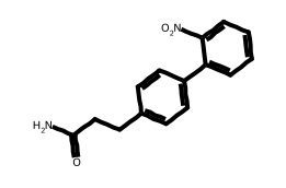 NC(=O)CCc1ccc(-c2ccccc2[N+](=O)[O-])cc1